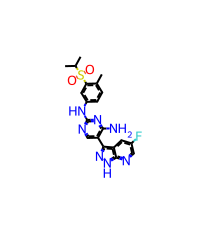 Cc1ccc(Nc2ncc(-c3n[nH]c4ncc(F)cc34)c(N)n2)cc1S(=O)(=O)C(C)C